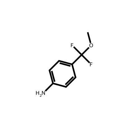 COC(F)(F)c1ccc(N)cc1